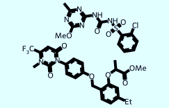 CCc1ccc(COc2ccc(-n3c(=O)cc(C(F)(F)F)n(C)c3=O)cc2)c(OC(C)C(=O)OC)c1.COc1nc(C)nc(NC(=O)NS(=O)(=O)c2ccccc2Cl)n1